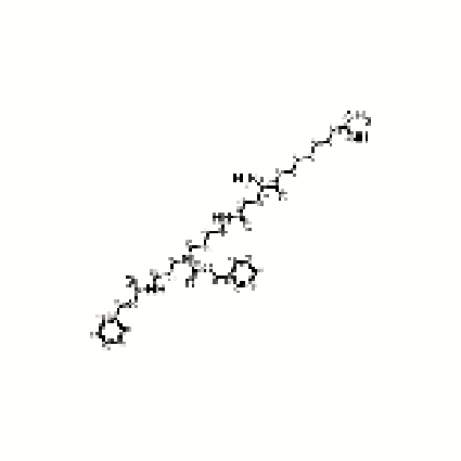 N=C(N)NCCCCCCC(=O)C(N)CCC(=O)NCCCCN(CCCNC(=O)OCc1ccccc1)C(=O)OCc1ccccc1